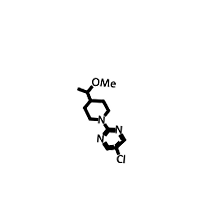 COC(C)C1CCN(c2ncc(Cl)cn2)CC1